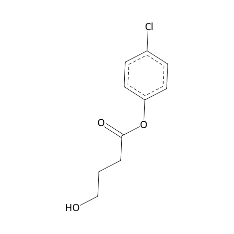 O=C(CCCO)Oc1ccc(Cl)cc1